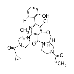 C=CC(=O)N1CCN2C(=O)c3c(N4CCN(C(=O)C5CC5)C[C@@H]4C)nc(-c4c(O)cccc4F)c(Cl)c3OC[C@H]2C1